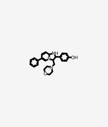 Oc1ccc(C2NC3C=CC(c4ccccc4)=CN3C2CN2CCOCC2)cc1